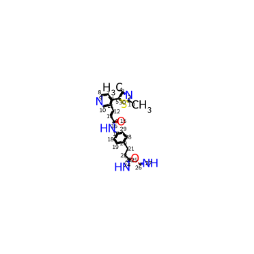 Cc1nc(C)c(-c2ccncc2/C=C/C(=O)Nc2ccc(CCC(=N)OC=N)cc2)s1